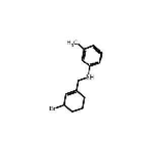 Cc1cccc(NCC2=CC(Br)CCC2)c1